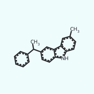 Cc1ccc2[nH]c3ccc(C(C)c4ccccc4)cc3c2c1